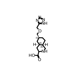 O=C(O)C1C[C@H]2C[C@@H](COCc3nnn[nH]3)CC[C@H]2CN1